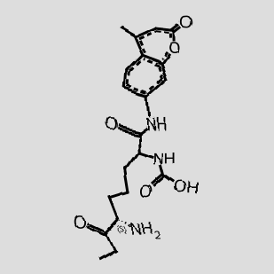 CCC(=O)[C@@H](N)CCCC(NC(=O)O)C(=O)Nc1ccc2c(C)cc(=O)oc2c1